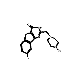 CC(=O)N1CCN(Cc2nc3c(oc4ccc(Br)cc43)c(=O)[nH]2)CC1